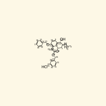 CC(C)N[C@H]1CCc2c(ccc(OCc3ccccc3)c2N(C)C(=O)OCc2ccccc2)[C@@H]1O.Cl